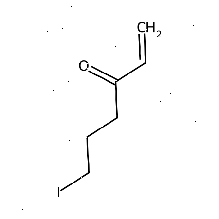 C=CC(=O)CCCI